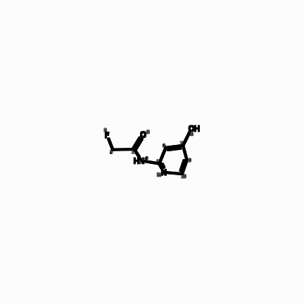 O=C(CF)Nc1cc(O)ccn1